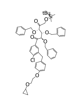 CC(C)(C)[Si](C)(C)OCC(=O)[C@@H](OCc1ccccc1)[C@H](OCc1ccccc1)[C@@H](OCc1ccccc1)C(=O)c1ccc(Cl)c(Cc2ccc(OCCOC3CC3)cc2)c1